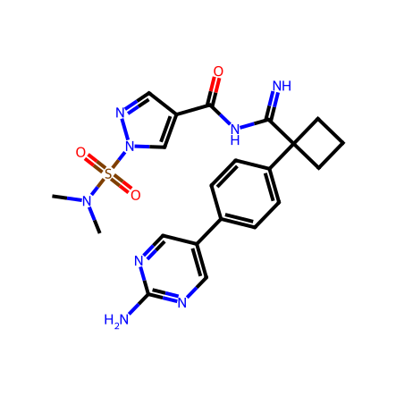 CN(C)S(=O)(=O)n1cc(C(=O)NC(=N)C2(c3ccc(-c4cnc(N)nc4)cc3)CCC2)cn1